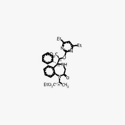 CCOC(=O)[C@@H](C)N1C(=O)CN[C@](c2ccccc2)([C@H](Oc2nc(CC)cc(CC)n2)C(=O)O)c2ccccc21